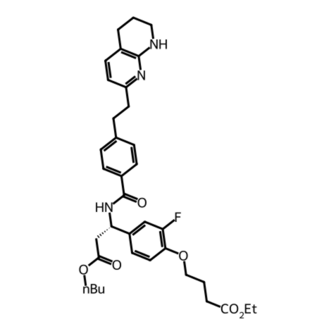 CCCCOC(=O)C[C@H](NC(=O)c1ccc(CCc2ccc3c(n2)NCCC3)cc1)c1ccc(OCCCC(=O)OCC)c(F)c1